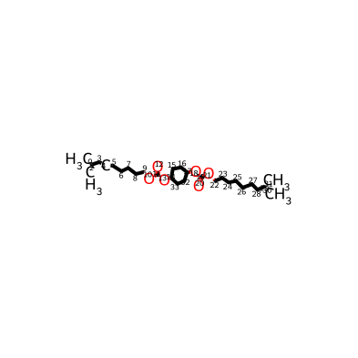 CC(C)CCCCCCCOC(=O)OC1CCC(OC(=O)OCCCCCCCC(C)C)CC1